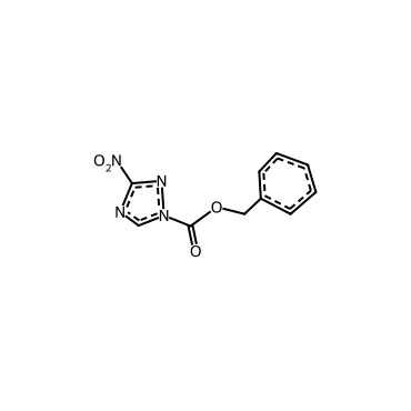 O=C(OCc1ccccc1)n1cnc([N+](=O)[O-])n1